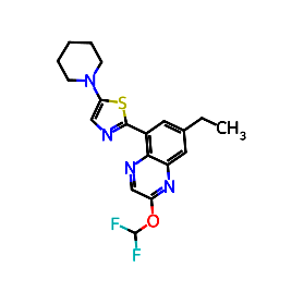 CCc1cc(-c2ncc(N3CCCCC3)s2)c2ncc(OC(F)F)nc2c1